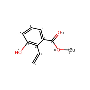 C=Cc1c(O)cccc1C(=O)OC(C)(C)C